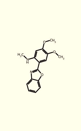 CNc1cc(OC)c(OC)cc1-c1nc2ccccc2o1